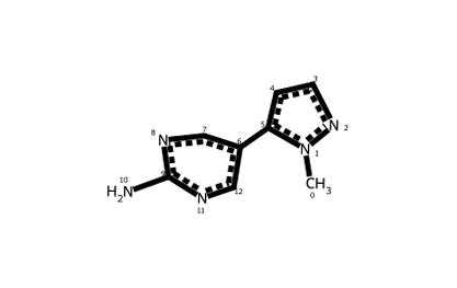 Cn1nccc1-c1cnc(N)nc1